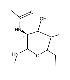 CCC1OC(NC)[C@@H](NC(C)=O)C(O)C1C